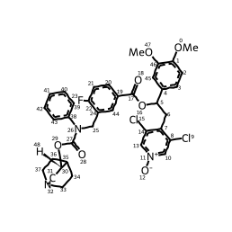 COc1ccc(C(Cc2c(Cl)c[n+]([O-])cc2Cl)OC(=O)c2ccc(F)c(CN(C(=O)O[C@H]3CN4CCC3CC4)c3ccccc3)c2)cc1OC